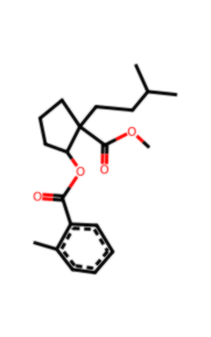 COC(=O)C1(CCC(C)C)CCCC1OC(=O)c1ccccc1C